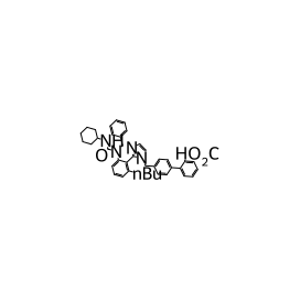 CCCCc1cccc(N(Cc2ccccc2)C(=O)NC2CCCCC2)c1-c1nccn1Cc1ccc(-c2ccccc2C(=O)O)cc1